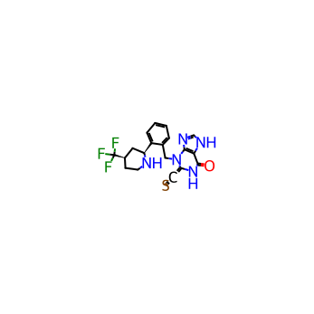 O=C1NC(=C=S)N(Cc2ccccc2[C@@H]2C[C@H](C(F)(F)F)CCN2)c2nc[nH]c21